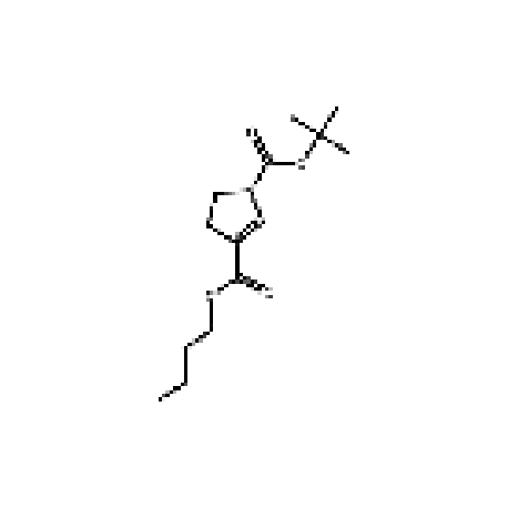 CCCCOC(=O)C1=CN(C(=O)OC(C)(C)C)CC1